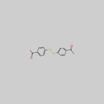 CC(=O)c1ccc(SSc2ccc(C(C)=O)cc2)cc1